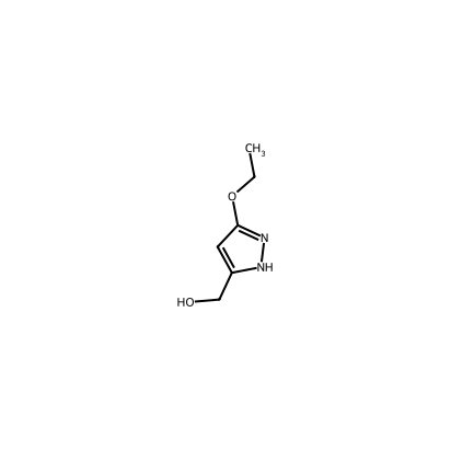 CCOc1cc(CO)[nH]n1